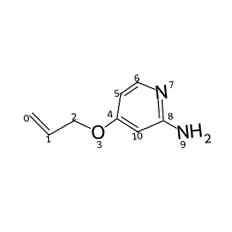 C=CCOc1ccnc(N)c1